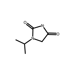 CC(C)N1CC(=O)[N]C1=O